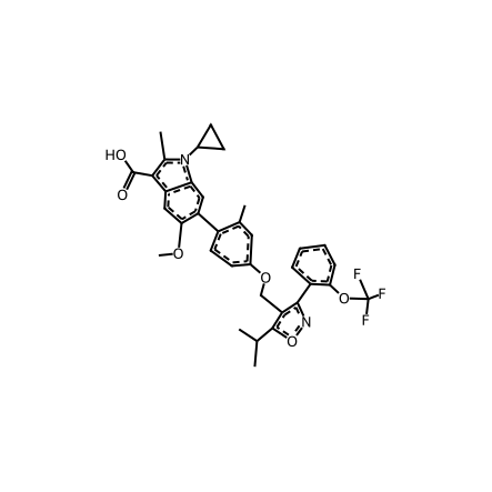 COc1cc2c(C(=O)O)c(C)n(C3CC3)c2cc1-c1ccc(OCc2c(-c3ccccc3OC(F)(F)F)noc2C(C)C)cc1C